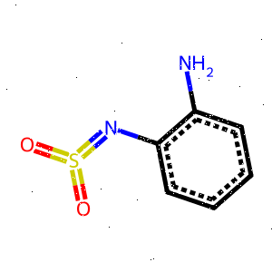 Nc1ccccc1N=S(=O)=O